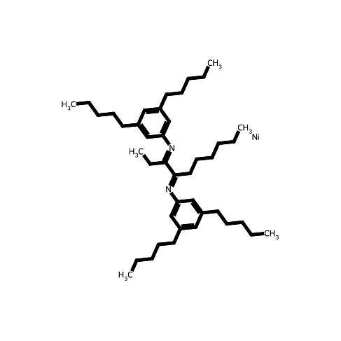 CCCCCCC(=N\c1cc(CCCCC)cc(CCCCC)c1)/C(CC)=N/c1cc(CCCCC)cc(CCCCC)c1.[Ni]